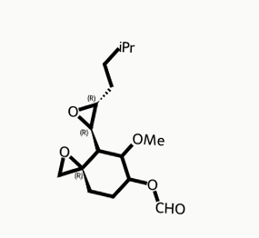 COC1C(OC=O)CC[C@]2(CO2)C1[C@H]1O[C@@H]1CCC(C)C